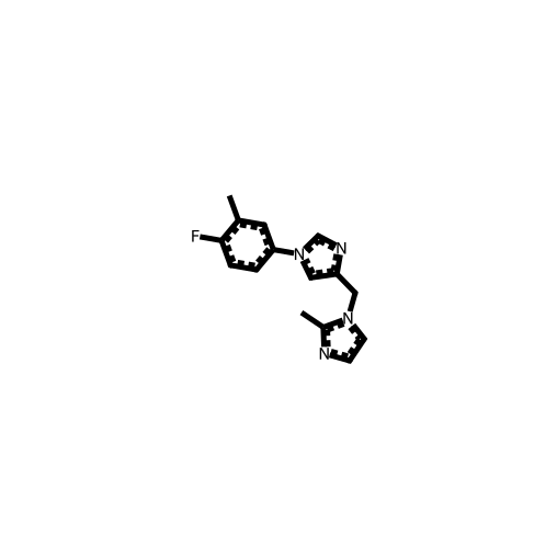 Cc1cc(-n2cnc(Cn3ccnc3C)c2)ccc1F